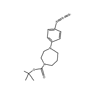 CC(C)(C)OC(=O)N1CCCN(c2ccc(N=[N+]=[N-])cc2)CC1